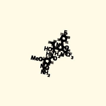 COc1cc(C(=O)NCC(O)(c2cc3c(c(-c4ccc(F)cc4)n2)OC[C@@]3(N)C(F)(F)F)C2CC2)cc2oc(N)nc12